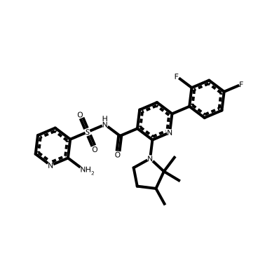 CC1CCN(c2nc(-c3ccc(F)cc3F)ccc2C(=O)NS(=O)(=O)c2cccnc2N)C1(C)C